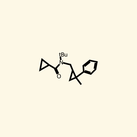 CC1(c2ccccc2)CC1CN(C(=O)C1CC1)C(C)(C)C